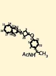 CC(=O)N[C@@H](C)c1ccc(OC2CN(c3nc4ccccc4s3)C2)cc1